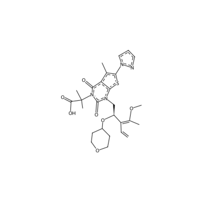 C=C/C(=C(\C)OC)[C@H](Cn1c(=O)n(C(C)(C)C(=O)O)c(=O)c2c(C)c(-n3cccn3)sc21)OC1CCOCC1